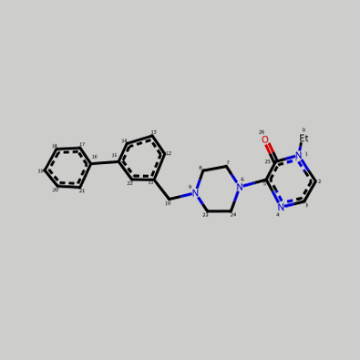 CCn1ccnc(N2CCN(Cc3cccc(-c4ccccc4)c3)CC2)c1=O